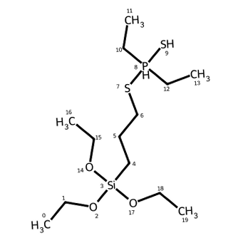 CCO[Si](CCCS[PH](S)(CC)CC)(OCC)OCC